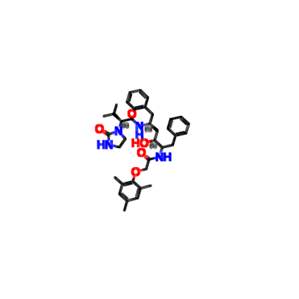 Cc1cc(C)c(OCC(=O)NC(Cc2ccccc2)[C@@H](O)C[C@H](Cc2ccccc2)NC(=O)[C@H](C(C)C)N2CCNC2=O)c(C)c1